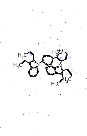 C=Cc1c(/C=C\C)n(C(/C=C\C)=C(/C)c2ccc(-n3c(/C=C\C)c(C=C)c4ccccc43)cc2)c2ccccc12